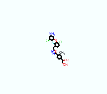 Cc1cc(C(O)CO)ccc1-c1nnc(Cc2ccc(Cl)c(Oc3cc(N)cc(Cl)c3)c2F)o1